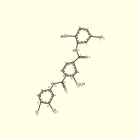 COc1ccc([N+](=O)[O-])cc1NC(=O)c1ccc(C(=O)Nc2ccc(Cl)c(C(F)(F)F)c2)c(C(=O)O)c1